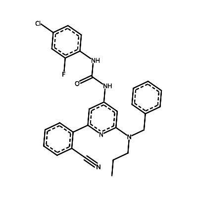 CCCN(Cc1ccccc1)c1cc(NC(=O)Nc2ccc(Cl)cc2F)cc(-c2ccccc2C#N)n1